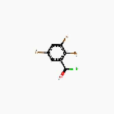 O=C(Cl)c1cc(Br)cc(Br)c1Br